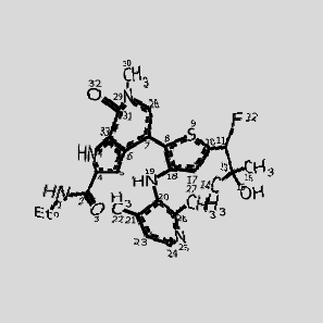 CCNC(=O)c1cc2c(-c3sc(C(F)C(C)(C)O)cc3Nc3c(C)ccnc3C)cn(C)c(=O)c2[nH]1